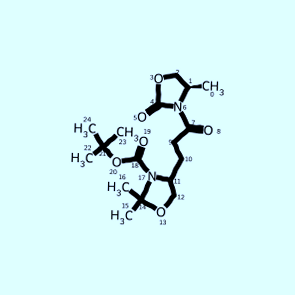 C[C@@H]1COC(=O)N1C(=O)CCC1COC(C)(C)N1C(=O)OC(C)(C)C